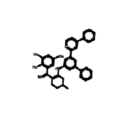 CC1CCC(C(=N)c2cc(C(C)(C)C)cc(C(C)(C)C)c2O)=C(Nc2cc(-c3ccccc3)cc(-c3cc(-c4ccccc4)ccn3)c2)C1